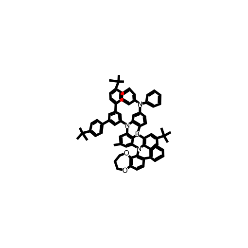 Cc1cc2c3c(c1)N(c1c(-c4ccccc4)ccc4c1OCCCO4)c1ccc(C(C)(C)C)cc1B3c1ccc(N(c3ccccc3)c3ccccc3)cc1N2c1cc(-c2ccc(C(C)(C)C)cc2)cc(-c2ccc(C(C)(C)C)cc2)c1